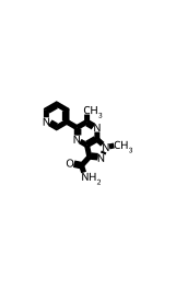 Cc1nc2c(nc1-c1cccnc1)c(C(N)=O)nn2C